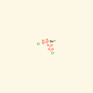 O.O.O.O.[Be+2].[Cl-].[Cl-]